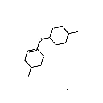 CC1CC=C(OC2CCC(C)CC2)CC1